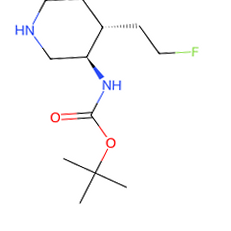 CC(C)(C)OC(=O)N[C@H]1CNCC[C@@H]1CCF